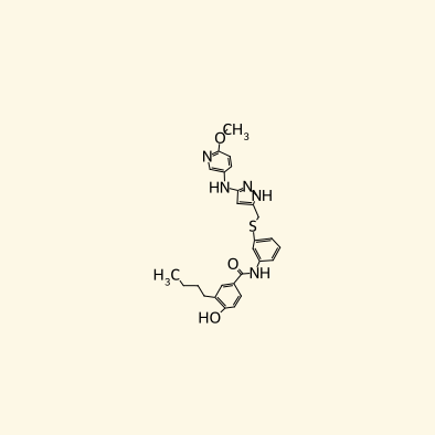 CCCCc1cc(C(=O)Nc2cccc(SCc3cc(Nc4ccc(OC)nc4)n[nH]3)c2)ccc1O